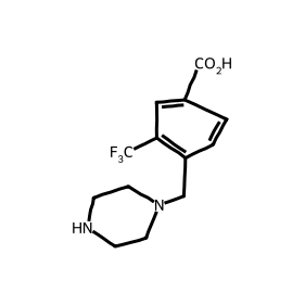 O=C(O)c1ccc(CN2CCNCC2)c(C(F)(F)F)c1